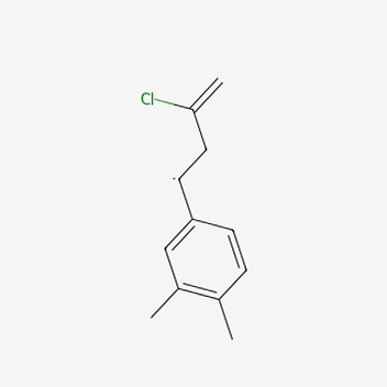 C=C(Cl)C[CH]c1ccc(C)c(C)c1